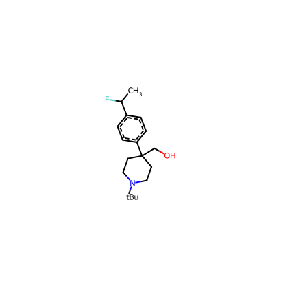 CC(F)c1ccc(C2(CO)CCN(C(C)(C)C)CC2)cc1